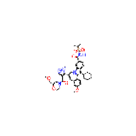 COC[C@@H]1CN(C(=O)c2cnn(C)c2C2=Cc3cc(OC)ccc3-c3c(C4CCCCC4)c4ccc(C(=O)NS(=O)(=O)C(C)C)cc4n3C2)CCO1